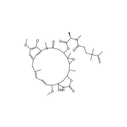 COc1cc2cc(c1Cl)N(C)C(=O)CC(OC(=O)[C@@H](C)N(C)C(=O)CCC(C)(C)S(C)=S)C1(C)OC1C(C)C1CC(O)(NC(=O)O1)C(OC)/C=C/C=C(\C)C2